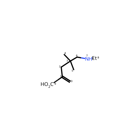 C=C(CC(C)(C)CNCC)C(=O)O